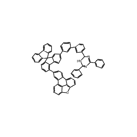 c1ccc(C2=NC(c3cccc(-c4cccc(-c5ccc6c(c5)C5(c7ccccc7-c7ccccc75)c5cccc(-c7ccc8c(c7)c7cccc9oc%10cccc8c%10c97)c5-6)c4)c3)NC(c3ccccc3)=N2)cc1